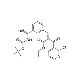 CCOC(=O)C(=Cc1cccc(C(=N)NC(=O)OC(C)(C)C)c1)C(=O)c1cccnc1Cl